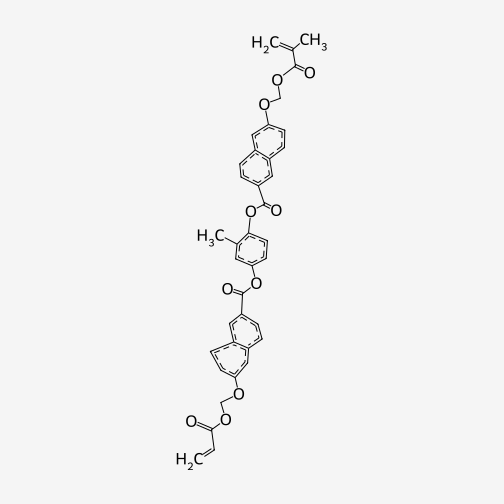 C=CC(=O)OCOc1ccc2cc(C(=O)Oc3ccc(OC(=O)c4ccc5cc(OCOC(=O)C(=C)C)ccc5c4)c(C)c3)ccc2c1